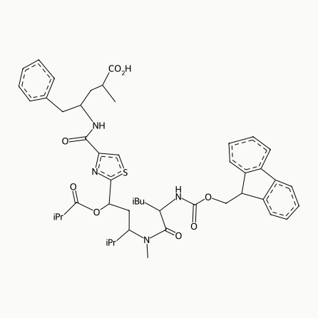 CCC(C)C(NC(=O)OCC1c2ccccc2-c2ccccc21)C(=O)N(C)C(CC(OC(=O)C(C)C)c1nc(C(=O)NC(Cc2ccccc2)CC(C)C(=O)O)cs1)C(C)C